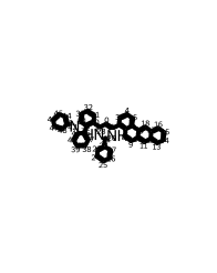 C1=C(c2cccc3c2ccc2cc4ccccc4cc23)NC(c2ccccc2)NC1c1cccc2c1c1ccccc1n2-c1ccccc1